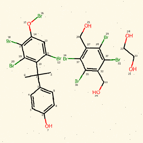 CC(C)(c1ccc(O)cc1)c1c(Br)cc(OBr)c(Br)c1Br.OCCO.OCc1c(Br)c(Br)c(CO)c(Br)c1Br